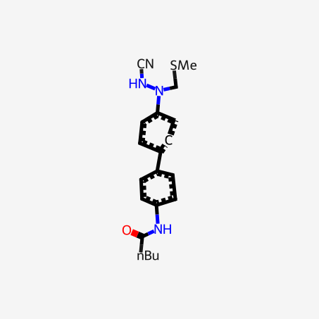 CCCCC(=O)Nc1ccc(-c2ccc(N(CSC)NC#N)cc2)cc1